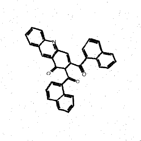 O=C(C1=Cc2nc3ccccc3cc2C(=O)C1C(=O)c1cccc2ccccc12)c1cccc2ccccc12